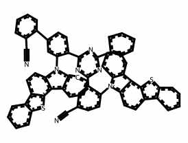 N#Cc1ccc(-n2c3ccccc3c3c4sc5ccccc5c4ccc32)c(-c2nc(-c3ccccc3)nc(-c3ccc(-c4ccccc4C#N)cc3-n3c4ccccc4c4c5sc6ccccc6c5ccc43)n2)c1